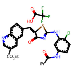 CCOC(=O)c1cnc2ccc(C=C3SC(Nc4cc(NC(=O)C(C)C)ccc4Cl)=NC3=O)cc2c1.O=C(O)C(F)(F)F